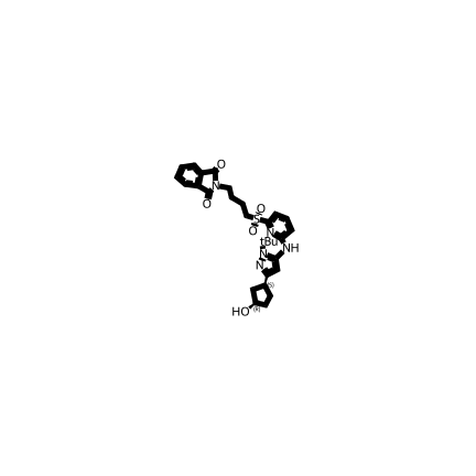 CC(C)(C)n1nc([C@H]2CC[C@@H](O)C2)cc1Nc1cccc(S(=O)(=O)CCCCN2C(=O)c3ccccc3C2=O)n1